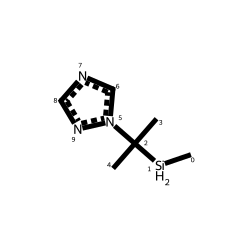 C[SiH2]C(C)(C)n1cncn1